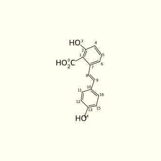 O=C(O)c1c(O)cccc1/C=C/c1ccc(O)cc1